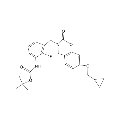 CC(C)(C)OC(=O)Nc1cccc(CN2Cc3ccc(OCC4CC4)cc3OC2=O)c1F